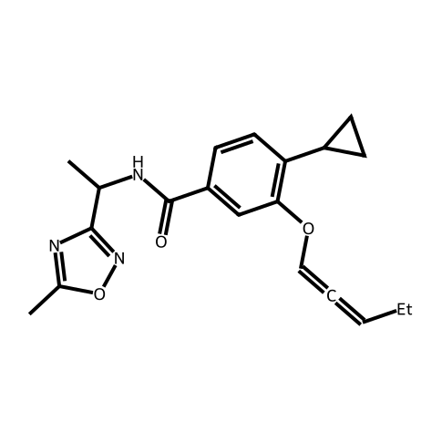 CCC=C=COc1cc(C(=O)NC(C)c2noc(C)n2)ccc1C1CC1